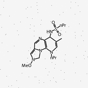 CCCN1C=C(C)C(NS(=O)(=O)CCC)C2=C1N1CN(OC)C=C1C=N2